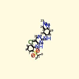 CC(C)S(=O)(=O)c1ccccc1Nc1nc(Nc2ccc3nn(C)cc3c2)ncc1Cl